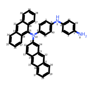 Nc1ccc(Nc2ccc(N(c3ccc4cc5ccccc5cc4c3)c3c4ccccc4cc4ccccc34)cc2)cc1